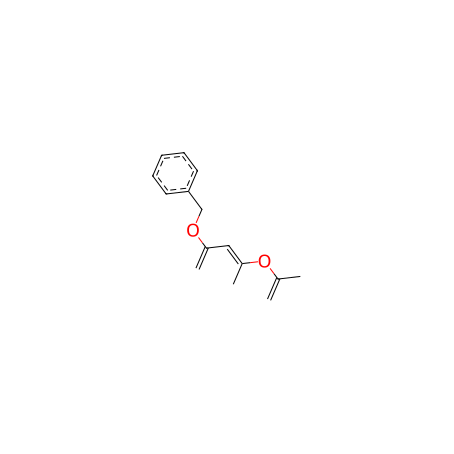 C=C(C)O/C(C)=C/C(=C)OCc1ccccc1